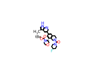 Cc1c[nH]c2ncc(-c3cc4c(c([C@@H]5COCCN5C(=O)OC(C)(C)C)c3)CN(C(=O)N3CCC(F)CC3)CC4)cc12